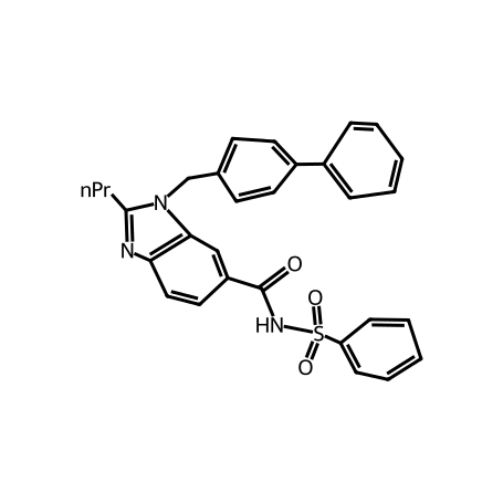 CCCc1nc2ccc(C(=O)NS(=O)(=O)c3ccccc3)cc2n1Cc1ccc(-c2ccccc2)cc1